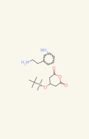 CC(C)(C)[Si](C)(C)OC1CC(=O)OC(=O)C1.N.NCCc1ccccc1